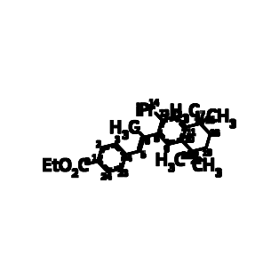 CCOC(=O)c1ccc(C=C(C)c2cc3c(cc2C(C)C)C(C)(C)CCC3(C)C)cc1